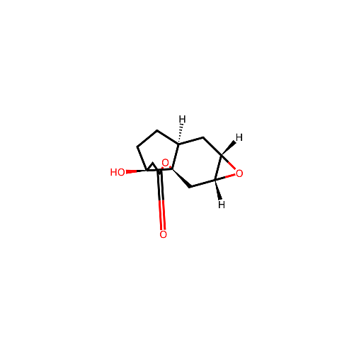 O=C1C[C@@]2(O)CC[C@H]3C[C@@H]4O[C@@H]4C[C@@]32O1